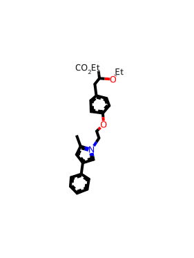 CCOC(=O)C(Cc1ccc(OCCn2cc(-c3ccccc3)cc2C)cc1)OCC